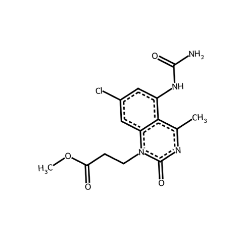 COC(=O)CCn1c(=O)nc(C)c2c(NC(N)=O)cc(Cl)cc21